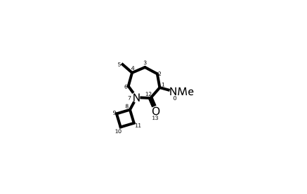 CNC1CCC(C)CN(C2CCC2)C1=O